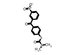 CN(C)C(=O)Sc1ccc(C(=O)c2cccc([N+](=O)[O-])c2)cc1